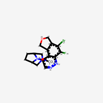 O=C(O)N1CC2CCC(C1)N2c1cnnc2c(F)c(Br)c3c(c12)COC3